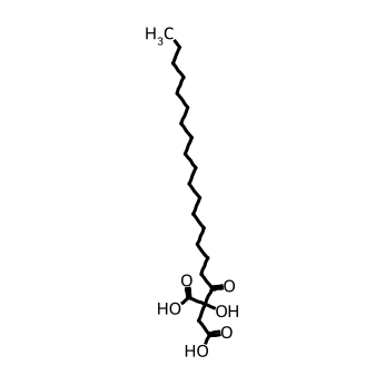 CCCCCCCCCCCCCCCCCC(=O)C(O)(CC(=O)O)C(=O)O